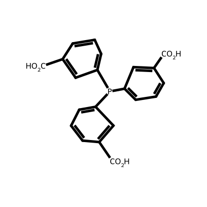 O=C(O)c1cccc(P(c2cccc(C(=O)O)c2)c2cccc(C(=O)O)c2)c1